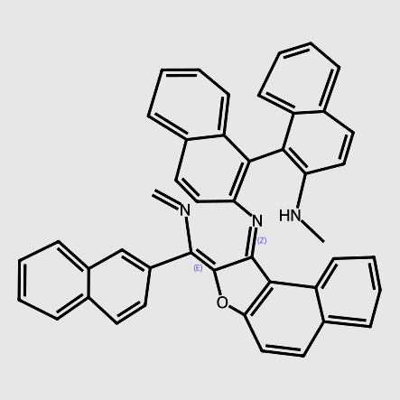 C=N/C(=C1/Oc2ccc3ccccc3c2/C1=N/c1ccc2ccccc2c1-c1c(NC)ccc2ccccc12)c1ccc2ccccc2c1